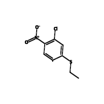 CCSc1[c]cc([N+](=O)[O-])c(Cl)c1